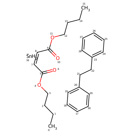 CCCCOC(=O)/C=C\C(=O)OCCCC.[SnH2].c1ccc(CCc2ccccc2)cc1